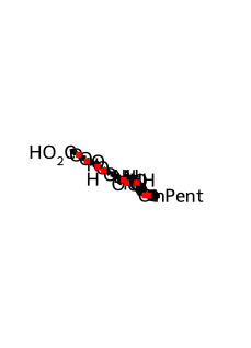 CCCCCc1ccc(Oc2ccc(S(=O)(=O)Nc3ncc(C(=O)NCCOCCOCC(=O)NCCOCCOCC(=O)O)cn3)cc2)cc1